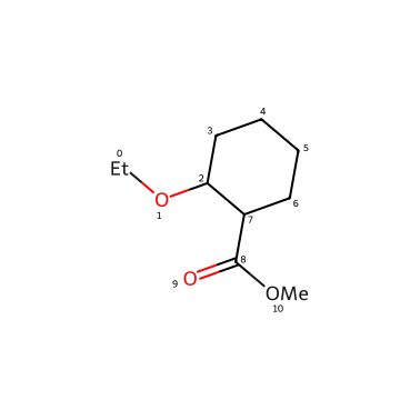 CCOC1CCCCC1C(=O)OC